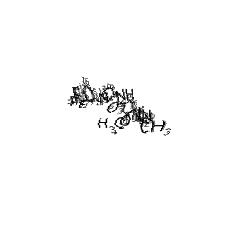 COc1cc(C(=O)N[C@H]2CCCN(Cc3cccc(C(F)(F)F)c3)C2)ccc1-n1cnc(C)c1